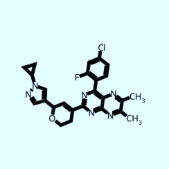 Cc1nc2nc(C3=CC(c4cnn(C5CC5)c4)OCC3)nc(-c3ccc(Cl)cc3F)c2nc1C